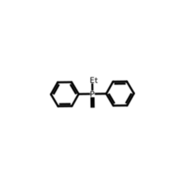 C=P(CC)(c1ccccc1)c1ccccc1